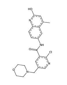 Cc1cc(O)nc2ccc(NC(=O)c3cc(CN4CCOCC4)cnc3Cl)cc12